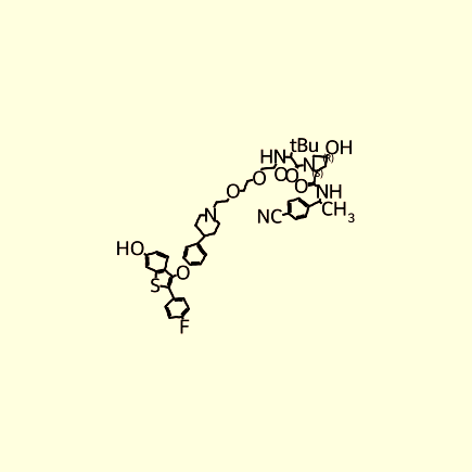 CC(NC(=O)[C@@H]1C[C@@H](O)CN1C(=O)C(NC(=O)COCCOCCN1CCC(c2ccc(Oc3c(-c4ccc(F)cc4)sc4cc(O)ccc34)cc2)CC1)C(C)(C)C)c1ccc(C#N)cc1